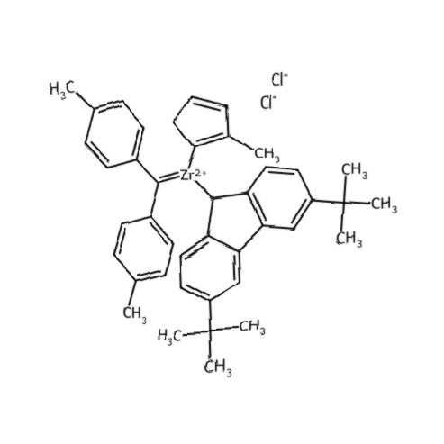 CC1=[C]([Zr+2](=[C](c2ccc(C)cc2)c2ccc(C)cc2)[CH]2c3ccc(C(C)(C)C)cc3-c3cc(C(C)(C)C)ccc32)CC=C1.[Cl-].[Cl-]